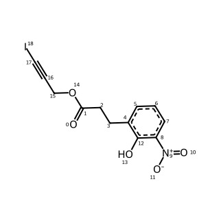 O=C(CCc1cccc([N+](=O)[O-])c1O)OCC#CI